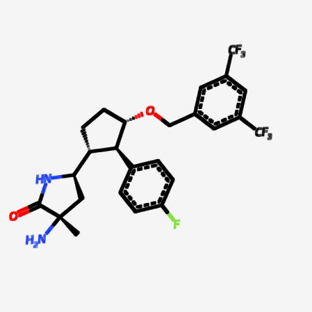 C[C@]1(N)C[C@H]([C@@H]2CC[C@H](OCc3cc(C(F)(F)F)cc(C(F)(F)F)c3)[C@H]2c2ccc(F)cc2)NC1=O